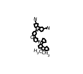 CC1(C)c2ccccc2-c2c1ccc1c2c2ccccc2n1C1=C=c2c(oc3ccc(-n4c5ccc(C#N)cc5c5cc(C#N)ccc54)cc23)=CC1